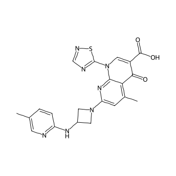 Cc1ccc(NC2CN(c3cc(C)c4c(=O)c(C(=O)O)cn(-c5ncns5)c4n3)C2)nc1